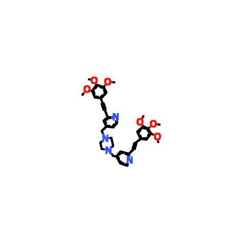 COc1cc(C#Cc2cc(CN3CCN(Cc4ccnc(C#Cc5cc(OC)c(OC)c(OC)c5)c4)CC3)ccn2)cc(OC)c1OC